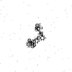 O=C1c2ccc(O[C@@H]3CCCC[C@@H]3N3CC(c4ccc(C(F)(F)F)nc4)C3)cc2CN1N1C(=O)CCCC1=O